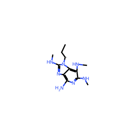 CC[CH]n1c(NC)nc2c(N)nc(NC)c(NC)c21